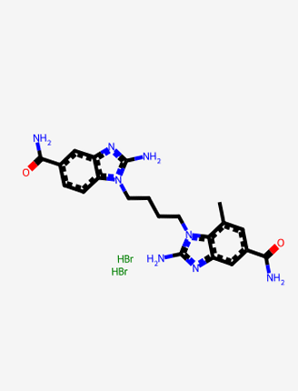 Br.Br.Cc1cc(C(N)=O)cc2nc(N)n(CCCCn3c(N)nc4cc(C(N)=O)ccc43)c12